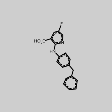 O=C(O)c1cc(F)cnc1Nc1ccc(Cc2ccccc2)cc1